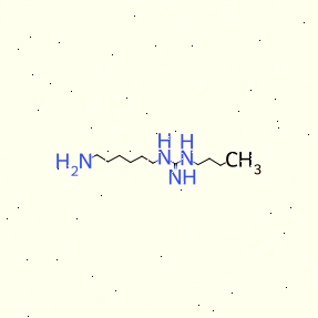 CCCCNC(=N)NCCCCCCN